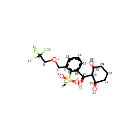 CS(=O)(=O)c1c(COCC(F)(F)F)cccc1C(=O)C1C(=O)CCCC1=O